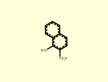 CC(=O)Oc1c(C(=O)O)ccc2ccccc12